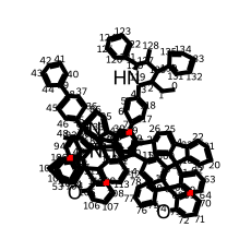 CCC1C(c2ccc(-c3cc(-c4ccc5c(c4)C4(c6ccccc6-c6ccc(-c7ccc(C8=NC(c9ccc(-c%10ccccc%10)cc9)C(C)C(c9ccccc9)N8)cc7)cc64)c4ccccc4C54c5ccccc5Oc5ccccc54)cc4c3-c3ccccc3C43c4ccccc4C4(c5ccccc5Oc5ccccc54)c4ccccc43)cc2)NC(c2ccccc2)C(C)C1c1ccccc1